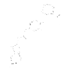 COc1cc(CC(=O)Nc2nc3cc(C)ccc3s2)ccc1Oc1ncccc1C(N)=O